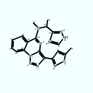 Cc1cc(-c2nnn3c2nc(N(C)C(C)c2nc[nH]n2)c2ccccc23)no1